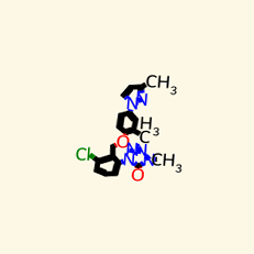 Cc1ccn(-c2ccc(OCc3c(Cl)cccc3-n3nnn(C)c3=O)c(C)c2)n1